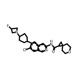 O=C(Nc1cc2cc(C3CCC(N4CC(F)C4)CC3)c(Cl)cc2cn1)C1CC12CCOCC2